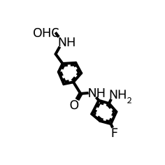 Nc1cc(F)ccc1NC(=O)c1ccc(CNC=O)cc1